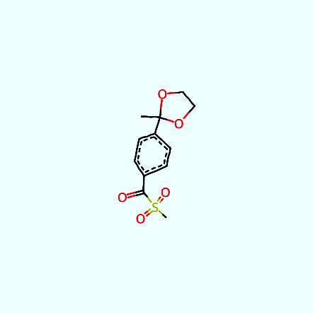 CC1(c2ccc(C(=O)S(C)(=O)=O)cc2)OCCO1